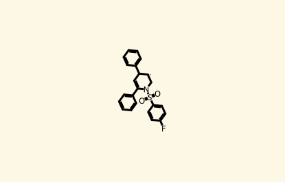 O=S(=O)(c1ccc(F)cc1)N1C[CH]C(c2ccccc2)C=C1c1ccccc1